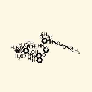 COCCOCCOCCNC(=O)c1cc(Nc2cc(Oc3ccc(NC(O)Nc4cc(C(C)(C)C)cc(NS(C)(=O)=O)c4OC)c4ccccc34)ccn2)cc(OC)c1